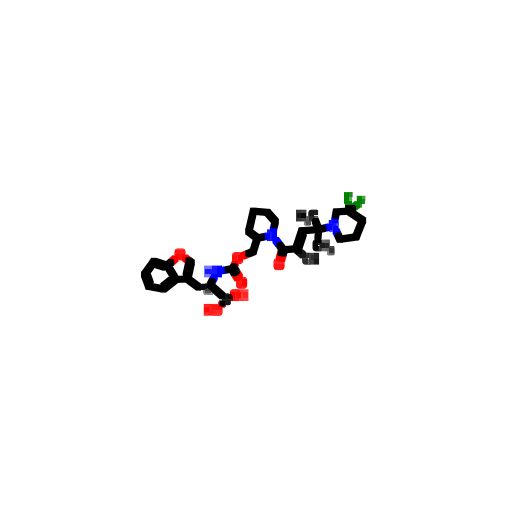 CC(C)(C=C(C#N)C(=O)N1CCCCC1COC(=O)N[C@@H](Cc1coc2ccccc12)B(O)O)N1CCCC(F)(F)C1